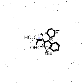 C/C(=C\C(C(c1ccccc1)[C@@H]1C[C@H](C)CC[C@H]1C(C)C)N(C=O)OC(C)(C)C)C(=O)O